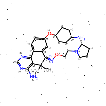 CC1(C)/C(=N/OCCN2CCCC2)c2cc(OC3CCC(N)CC3)ccc2-c2ncnc(N)c21